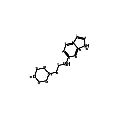 c1cc2ccc(NCCN3CCOCC3)cc2[nH]1